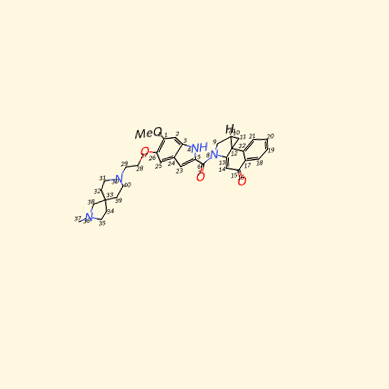 COc1cc2[nH]c(C(=O)N3C[C@H]4CC45C3=CC(=O)c3ccccc35)cc2cc1OCCN1CCC2(CCN(C)C2)CC1